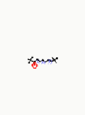 CC(C)(C)/C=C/C=C/C=C/C(=O)C(C)(C)C